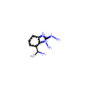 CC(N)c1cccc2[nH]c(=NN)n(N)c12